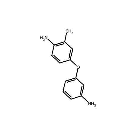 Cc1cc(Oc2cccc(N)c2)ccc1N